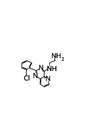 NCCNc1nc(-c2ccccc2Cl)nc2cccnc12